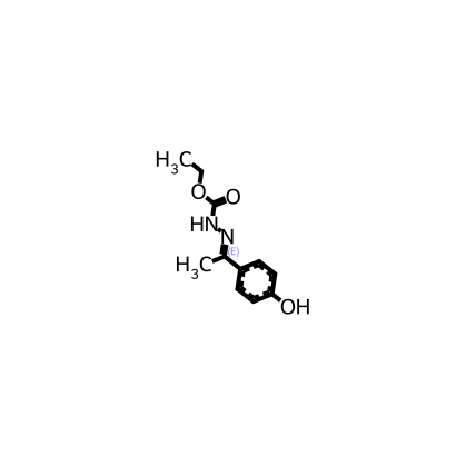 CCOC(=O)N/N=C(\C)c1ccc(O)cc1